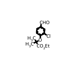 CCOC(=O)C(C)(C)Oc1ccc(C=O)cc1Cl